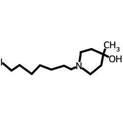 CC1(O)CCN(CCCCCCCI)CC1